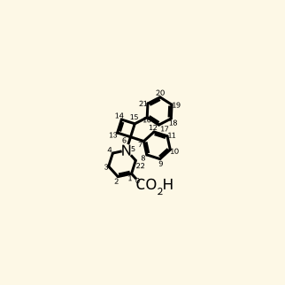 O=C(O)C1=CCCN(C2(c3ccccc3)C=CC2c2ccccc2)C1